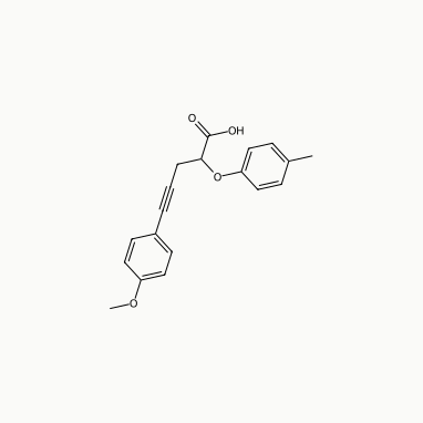 COc1ccc(C#CCC(Oc2ccc(C)cc2)C(=O)O)cc1